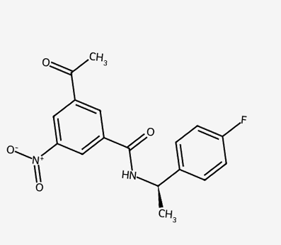 CC(=O)c1cc(C(=O)N[C@H](C)c2ccc(F)cc2)cc([N+](=O)[O-])c1